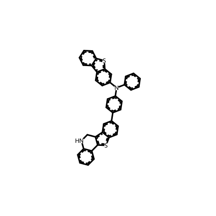 c1ccc(N(c2ccc(-c3ccc4sc5c(c4c3)CNc3ccccc3-5)cc2)c2ccc3c(c2)sc2ccccc23)cc1